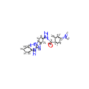 CN(C)c1ccc(C(=O)Nc2ccc3[nH]c(Nc4ccccc4)nc3c2)cc1